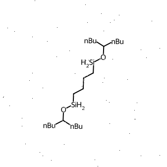 CCCCC(CCCC)O[SiH2]CCCC[SiH2]OC(CCCC)CCCC